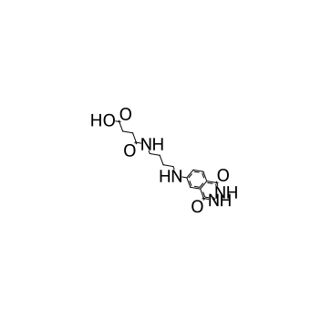 O=C(O)CCC(=O)NCCCCNc1ccc2c(=O)[nH][nH]c(=O)c2c1